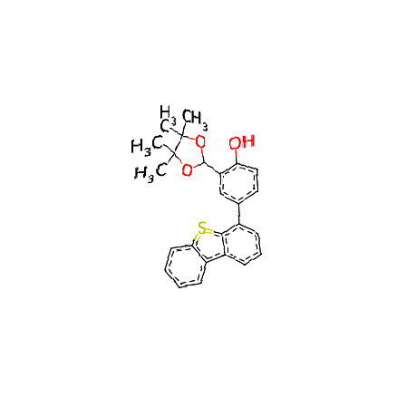 CC1(C)OC(c2cc(-c3cccc4c3sc3ccccc34)ccc2O)OC1(C)C